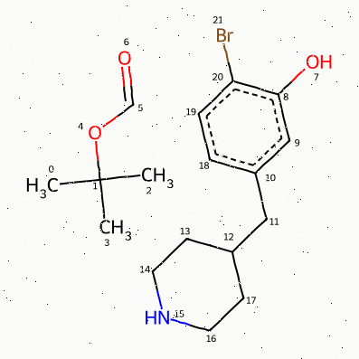 CC(C)(C)OC=O.Oc1cc(CC2CCNCC2)ccc1Br